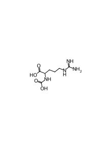 N=C(N)NCCCC(NC(=O)O)C(=O)O